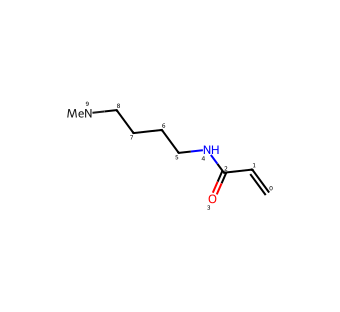 C=CC(=O)NCCCCNC